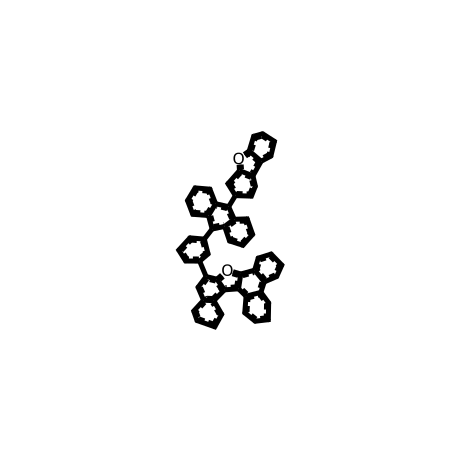 c1cc(-c2c3ccccc3c(-c3ccc4c(c3)oc3ccccc34)c3ccccc23)cc(-c2cc3ccccc3c3c2oc2c4ccccc4c4ccccc4c23)c1